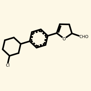 O=CC1CC=C(c2ccc(C3CCCC(Cl)C3)cc2)O1